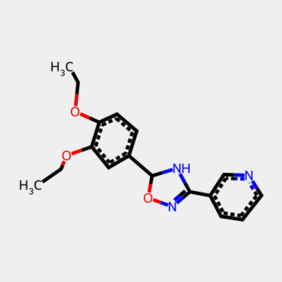 CCOc1ccc(C2NC(c3cccnc3)=NO2)cc1OCC